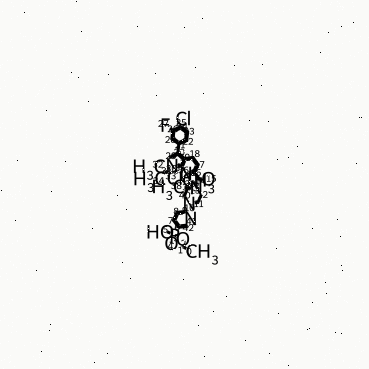 CCOP(=O)(O)c1ccc(N2CCN(C(=O)c3ccc4c(-c5ccc(Cl)c(F)c5)cn(C(C)(C)C)c4n3)C(C)(C)C2)nc1